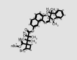 CCCCOC(=O)C1(C(C)(C)C(C)(C)C(=O)Oc2ccc3ccc4c(c3c2)N=CC2(O4)N(C)c3ccccc3C2(C)C)CCC1Br